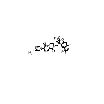 Cc1cn(-c2ccc3n(c2=O)CCN(C[C@@]24C[C@]2(C)Oc2cc(F)c(C(F)(F)F)cc24)C3=O)cn1